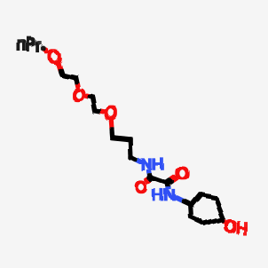 CCCOCCOCCOCCCNC(=O)C(=O)NC1CCC(O)CC1